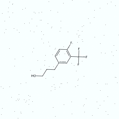 OCCCc1ccc(F)c(C(F)(F)F)c1